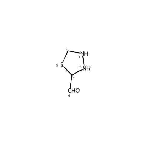 O=CC1NNCS1